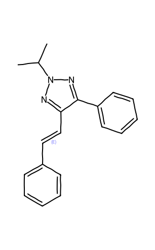 CC(C)n1nc(/C=C/c2ccccc2)c(-c2ccccc2)n1